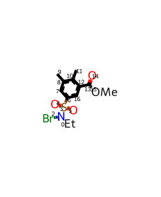 CCN(Br)S(=O)(=O)c1cc(C)c(C)c(C(=O)OC)c1